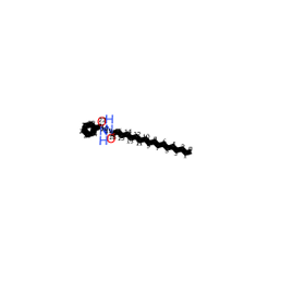 CCCCCCCCCCCCCCCCCC(=O)NNC(=O)c1ccccc1